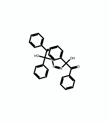 O=C(c1ccccc1)C(O)(N=NNC(O)(C(=O)c1ccccc1)c1ccccc1)c1ccccc1